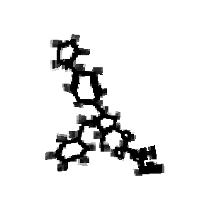 CCCCNC(=O)Oc1cc(-c2ccc(N3CCCC3)cc2)n(CC2CCCCC2)c1C